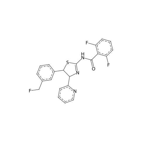 O=C(NC1=NC(c2ccccn2)C(c2cccc(CF)c2)S1)c1c(F)cccc1F